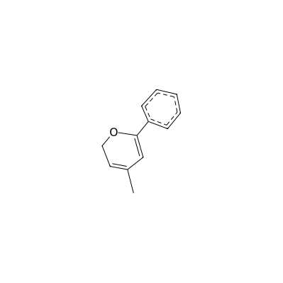 CC1=CCOC(c2ccccc2)=C1